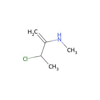 C=C(NC)C(C)Cl